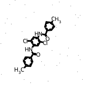 Cc1ccc(C(=O)Nc2cc(Cl)c(NC(=O)c3ccc(C)cc3)cc2Cl)cc1